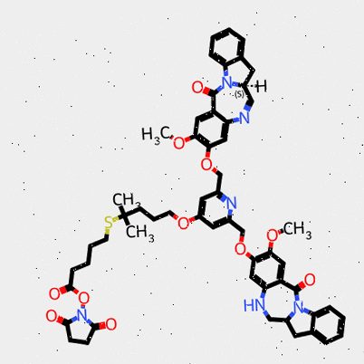 COc1cc2c(cc1OCc1cc(OCCCC(C)(C)SCCCCC(=O)ON3C(=O)CCC3=O)cc(COc3cc4c(cc3OC)C(=O)N3c5ccccc5CC3CN4)n1)N=C[C@@H]1Cc3ccccc3N1C2=O